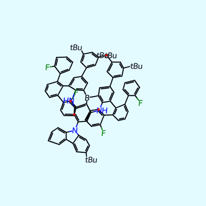 CC(C)(C)c1cc(-c2cc3c(c(-c4c(-c5ccccc5F)cccc4-c4ccccc4F)c2)Nc2cc(-n4c5ccccc5c5cc(C(C)(C)C)ccc54)cc4c2B3c2cc(-c3cc(C(C)(C)C)cc(C(C)(C)C)c3)cc(-c3c(-c5ccccc5F)cccc3-c3ccccc3F)c2N4)cc(C(C)(C)C)c1